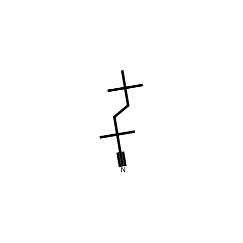 CC(C)(C)CCC(C)(C)C#N